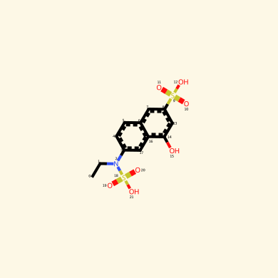 CCN(c1ccc2cc(S(=O)(=O)O)cc(O)c2c1)S(=O)(=O)O